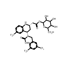 COC(=O)N(Cc1cc(C(F)(F)F)cc(C(F)(F)F)c1)[C@H]1C[C@@H](CC(=O)OC2OC(C(=O)O)C(O)C(O)C2O)Nc2ccc(C(F)(F)F)cc21